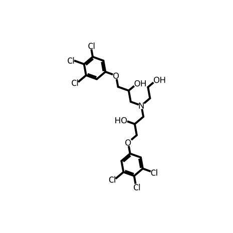 OCCN(CC(O)COc1cc(Cl)c(Cl)c(Cl)c1)CC(O)COc1cc(Cl)c(Cl)c(Cl)c1